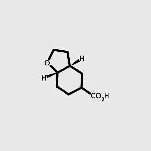 O=C(O)C1CC[C@@H]2OCC[C@@H]2C1